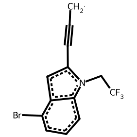 [CH2]C#Cc1cc2c(Br)cccc2n1CC(F)(F)F